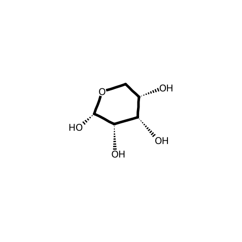 O[C@@H]1[C@H](O)[C@H](O)OC[C@@H]1O